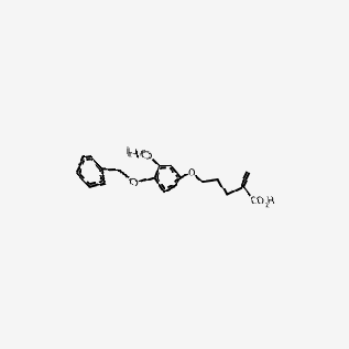 C=C(CCCOc1ccc(OCc2ccccc2)c(O)c1)C(=O)O